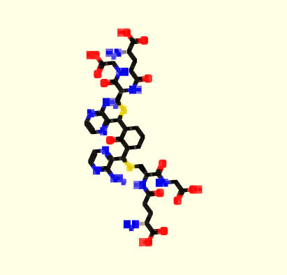 Nc1nccnc1C(SC[C@H](NC(=O)CC[C@@H](N)C(=O)O)C(=O)NCC(=O)O)C1CCCC(C(SC[C@H](NC(=O)CC[C@H](N)C(=O)O)C(=O)NCC(=O)O)c2nccnc2N)C1=O